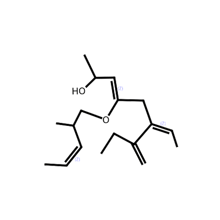 C=C(CC)/C(=C\C)C/C(=C/C(C)O)OCC(C)/C=C\C